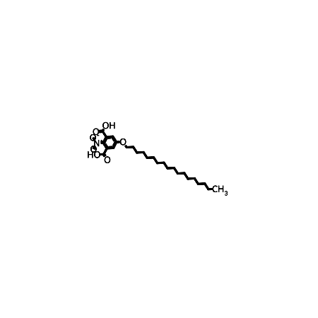 CCCCCCCCCCCCCCCCCCOc1cc(C(=O)O)c([N+](=O)[O-])c(C(=O)O)c1